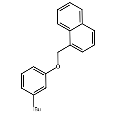 CCC(C)c1cccc(OCc2cccc3ccccc23)c1